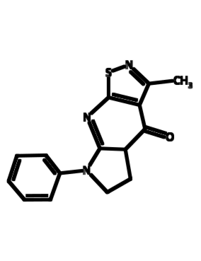 Cc1nsc2c1C(=O)C1CCN(c3ccccc3)C1=N2